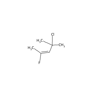 C/C(F)=C\C(C)(C)Cl